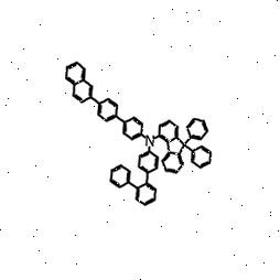 c1ccc(-c2ccccc2-c2ccc(N(c3ccc(-c4ccc(-c5ccc6ccccc6c5)cc4)cc3)c3cccc4c3-c3ccccc3C4(c3ccccc3)c3ccccc3)cc2)cc1